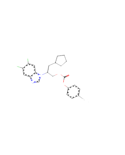 O=C(OCC(CC1CCCC1)n1cnc2cc(Cl)c(Cl)cc21)Oc1ccc([N+](=O)[O-])cc1